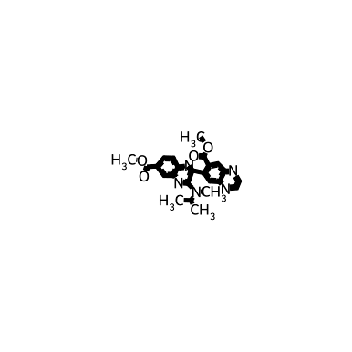 COC(=O)c1ccc2nc(-c3cc4nccnc4cc3C(=O)OC)c(N(C)C(C)C)nc2c1